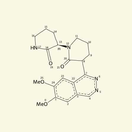 COc1cc2cnnc(C3CCCN([C@@H]4CCCNC4=O)C3=O)c2cc1OC